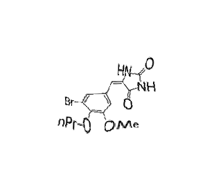 CCCOc1c(Br)cc(C=C2NC(=O)NC2=O)cc1OC